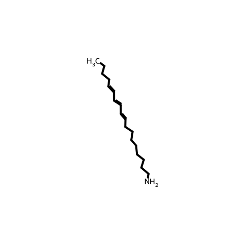 CCCCC=CC=CC=CCCCCCCCCN